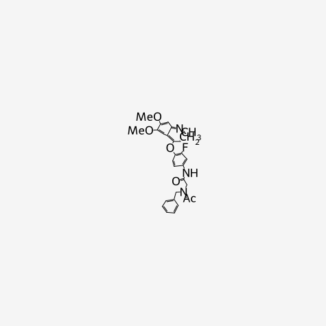 C=C/C(Oc1ccc(NC(=O)CN(Cc2ccccc2)C(C)=O)cc1F)=C1/C=C(OC)C(OC)=C/C1=N/C